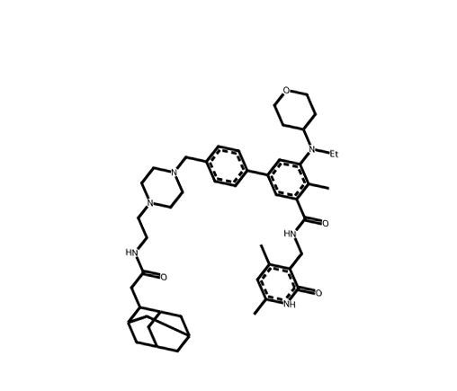 CCN(c1cc(-c2ccc(CN3CCN(CCNC(=O)CC4C5CC6CC(C5)CC4C6)CC3)cc2)cc(C(=O)NCc2c(C)cc(C)[nH]c2=O)c1C)C1CCOCC1